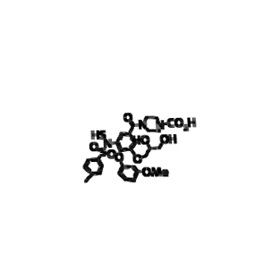 COc1cccc(Oc2c(OCC(O)CO)cc(C(=O)N3CCN(C(=O)O)CC3)cc2N(S)S(=O)(=O)c2ccc(C)cc2)c1